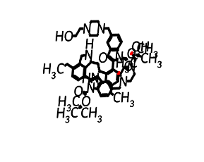 CCc1ccc(-c2cc3cc(CN4CCN(CCO)CC4)ccc3n2C(=O)OC(C)(C)C)c2c1CNC2C(=O)C1NCc2c(CC)ccc(-c3cc4cc(CN5CCN(CCO)CC5)ccc4n3C(=O)OC(C)(C)C)c21